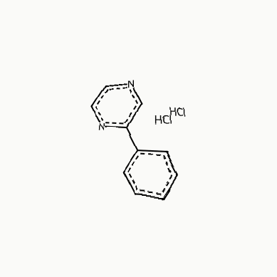 Cl.Cl.c1ccc(-c2cnccn2)cc1